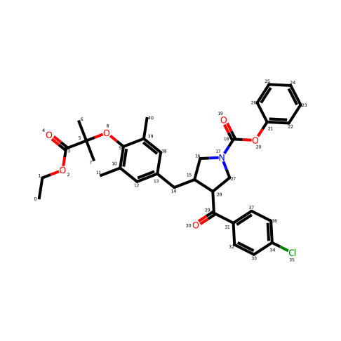 CCOC(=O)C(C)(C)Oc1c(C)cc(CC2CN(C(=O)Oc3ccccc3)CC2C(=O)c2ccc(Cl)cc2)cc1C